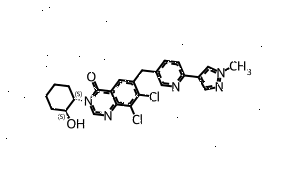 Cn1cc(-c2ccc(Cc3cc4c(=O)n([C@H]5CCCC[C@@H]5O)cnc4c(Cl)c3Cl)cn2)cn1